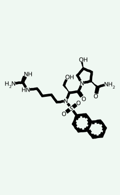 N=C(N)NCCCCN([C@@H](CO)C(=O)N1C[C@@H](O)C[C@H]1C(N)=O)S(=O)(=O)c1ccc2ccccc2c1